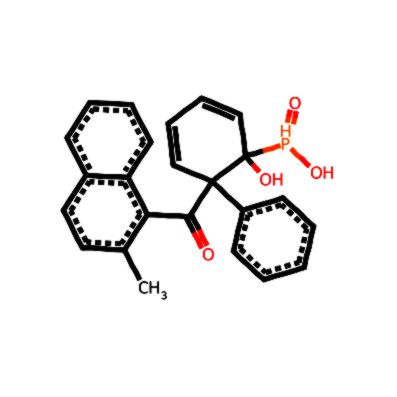 Cc1ccc2ccccc2c1C(=O)C1(c2ccccc2)C=CC=CC1(O)[PH](=O)O